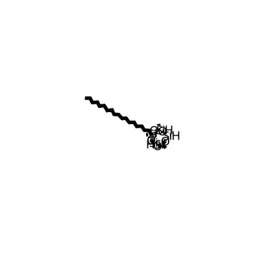 CCCCCCCCCCCCCCCCCC[Si]1(C)O[SiH](C)O[SiH](C)O[SiH](C)O[SiH](C)O1